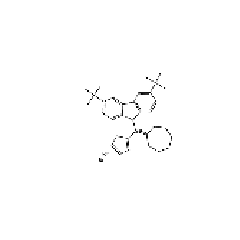 CC(C)(C)c1ccc2c(c1)-c1cc(C(C)(C)C)ccc1[CH]2[Zr+2]([C]1=CC=CC1)=[C]1CCCCCC1.[Br-].[Br-]